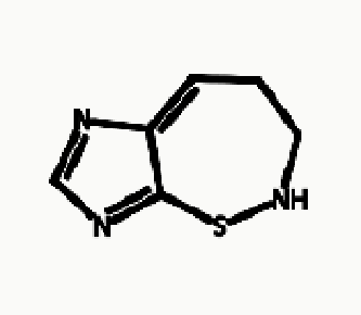 C1=NC2=CCCNSC2=N1